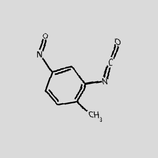 Cc1ccc(N=O)cc1N=C=O